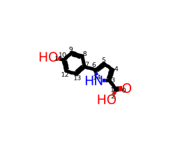 O=C(O)c1ccc(-c2ccc(O)cc2)[nH]1